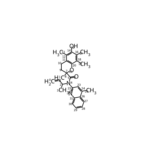 C=CC(C)N(C(=O)C1(C)CCc2c(C)c(O)c(C)c(C)c2O1)c1cc(C)c2ccccc2n1